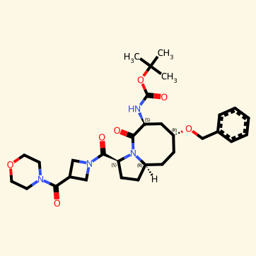 CC(C)(C)OC(=O)N[C@H]1C[C@H](OCc2ccccc2)CC[C@H]2CC[C@@H](C(=O)N3CC(C(=O)N4CCOCC4)C3)N2C1=O